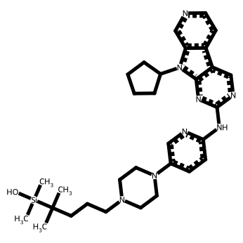 CC(C)(CCCN1CCN(c2ccc(Nc3ncc4c5ccncc5n(C5CCCC5)c4n3)nc2)CC1)[Si](C)(C)O